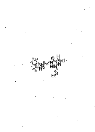 CCOCCNc1nc(Cl)[nH]c1C(=O)NCCCn1nnc(C2(c3ccccc3)CC2)n1